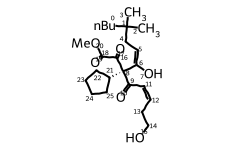 CCCCC(C)(C)C/C=C(/O)[C@@](C(=O)/C=C\CCO)(C(=O)C(=O)OC)C1CCCC1